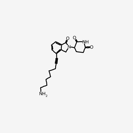 NCCCCCCC#Cc1cccc2c1CN(C1CCC(=O)NC1=O)C2=O